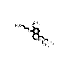 CCCCOc1c(OC)ccc2c1CCNC2CN(CC)CC